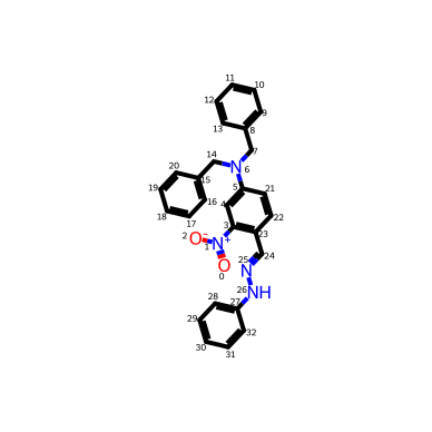 O=[N+]([O-])c1cc(N(Cc2ccccc2)Cc2ccccc2)ccc1C=NNc1ccccc1